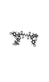 O=C(NCCCNC(=O)c1nn(-c2ccc(Cl)cc2Cl)c2c1Cc1sc(S(=O)(=O)O)cc1-2)c1nn(-c2ccc(Cl)cc2Cl)c2c1Cc1sccc1-2